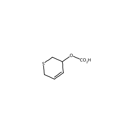 O=C(O)OC1C=CCSC1